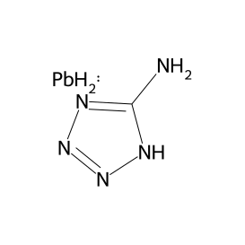 Nc1nnn[nH]1.[PbH2]